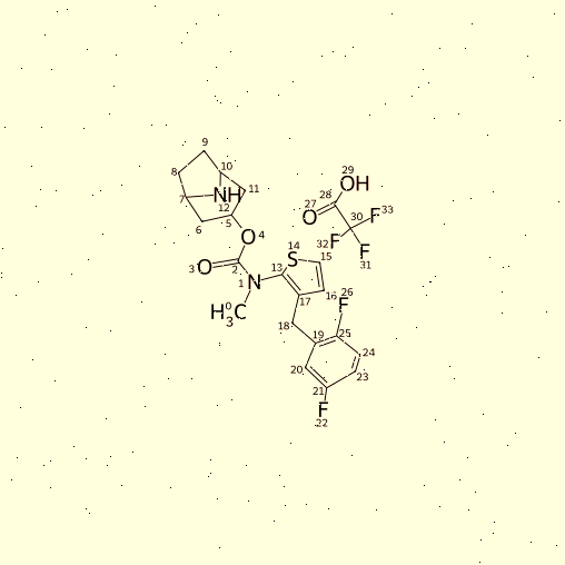 CN(C(=O)OC1CC2CCC(C1)N2)c1sccc1Cc1cc(F)ccc1F.O=C(O)C(F)(F)F